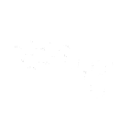 Cc1ncnc(C)c1C(=O)N1CCC(C)(N2CCC(N(Cc3ccccc3)c3ccc(I)cc3)CC2)CC1